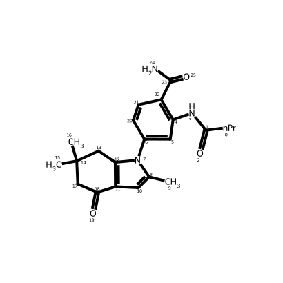 CCCC(=O)Nc1cc(-n2c(C)cc3c2CC(C)(C)CC3=O)ccc1C(N)=O